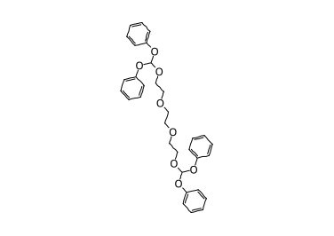 c1ccc(OC(OCCOCCOCCOC(Oc2ccccc2)Oc2ccccc2)Oc2ccccc2)cc1